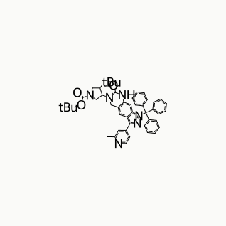 Cc1cc(-c2nn(C(c3ccccc3)(c3ccccc3)c3ccccc3)c3cc4c(cc23)CN(C2CN(C(=O)OC(C)(C)C)CC2C(C)(C)C)C(=O)N4)ccn1